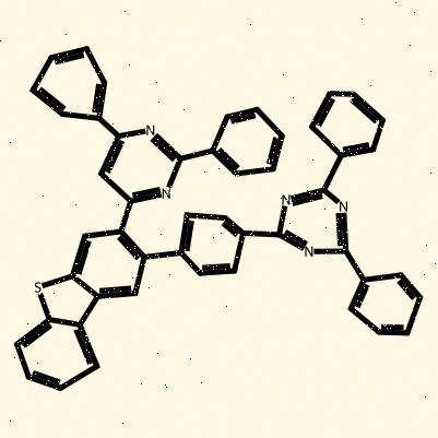 c1ccc(-c2cc(-c3cc4sc5ccccc5c4cc3-c3ccc(-c4nc(-c5ccccc5)nc(-c5ccccc5)n4)cc3)nc(-c3ccccc3)n2)cc1